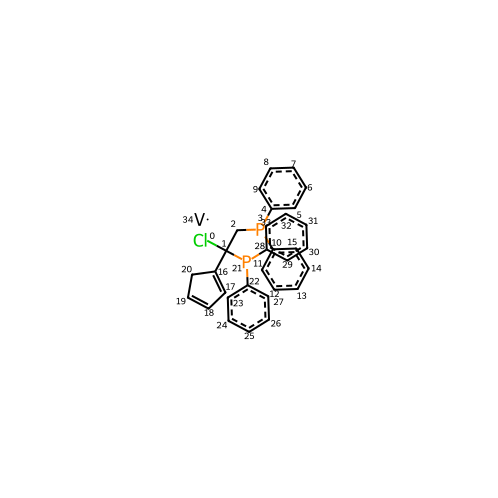 ClC(CP(c1ccccc1)c1ccccc1)(C1=CC=CC1)P(c1ccccc1)c1ccccc1.[V]